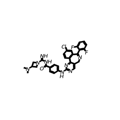 CN(C)C1CN(C(=N)NC(=O)c2ccc(Nc3ncc4c(n3)-c3ccc(Cl)cc3C(c3c(F)cccc3F)=NC4)cc2)C1